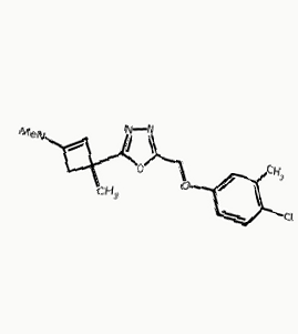 CNC1=CC(C)(c2nnc(COc3ccc(Cl)c(C)c3)o2)C1